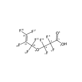 O=C(O)C(F)(F)C(F)(F)OC(F)(F)C(F)=C(F)F